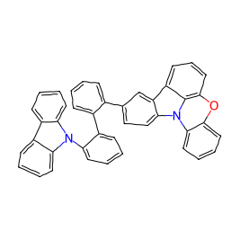 c1ccc2c(c1)Oc1cccc3c4cc(-c5ccccc5-c5ccccc5-n5c6ccccc6c6ccccc65)ccc4n-2c13